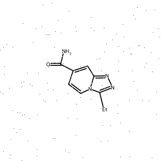 CCc1nnc2cc(C(N)=O)ccn12